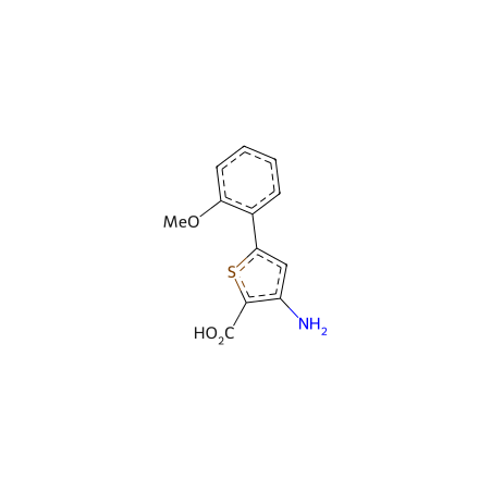 COc1ccccc1-c1cc(N)c(C(=O)O)s1